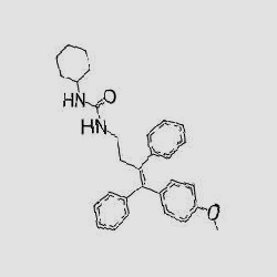 COc1ccc(/C(=C(/CCNC(=O)NC2CCCCC2)c2ccccc2)c2ccccc2)cc1